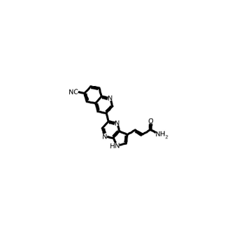 N#Cc1ccc2ncc(-c3cnc4[nH]cc(C=CC(N)=O)c4n3)cc2c1